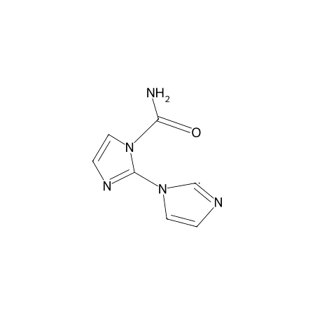 NC(=O)n1ccnc1-n1[c]ncc1